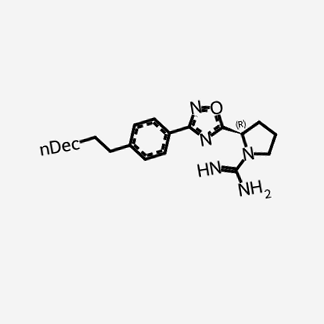 CCCCCCCCCCCCc1ccc(-c2noc([C@H]3CCCN3C(=N)N)n2)cc1